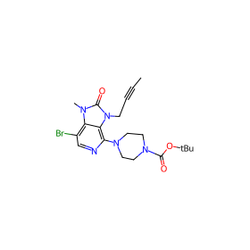 CC#CCn1c(=O)n(C)c2c(Br)cnc(N3CCN(C(=O)OC(C)(C)C)CC3)c21